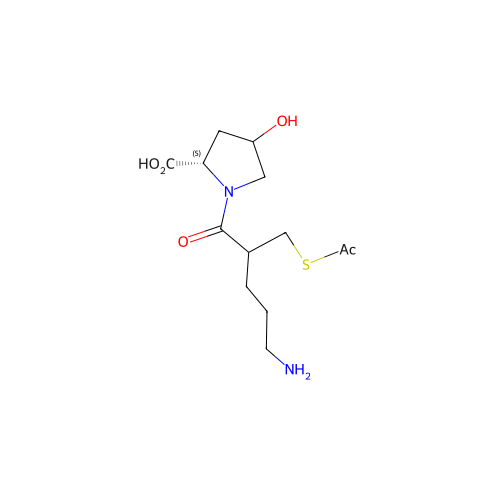 CC(=O)SCC(CCCN)C(=O)N1CC(O)C[C@H]1C(=O)O